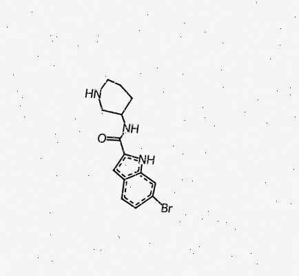 O=C(NC1CCCNC1)c1cc2ccc(Br)cc2[nH]1